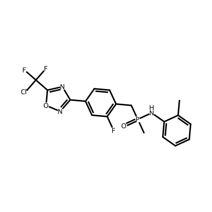 Cc1ccccc1NP(C)(=O)Cc1ccc(-c2noc(C(F)(F)Cl)n2)cc1F